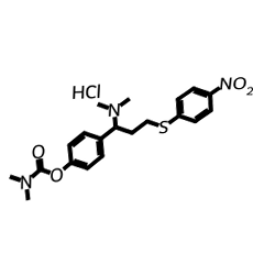 CN(C)C(=O)Oc1ccc(C(CCSc2ccc([N+](=O)[O-])cc2)N(C)C)cc1.Cl